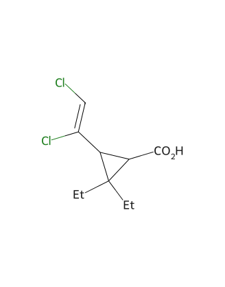 CCC1(CC)C(C(=O)O)C1C(Cl)=CCl